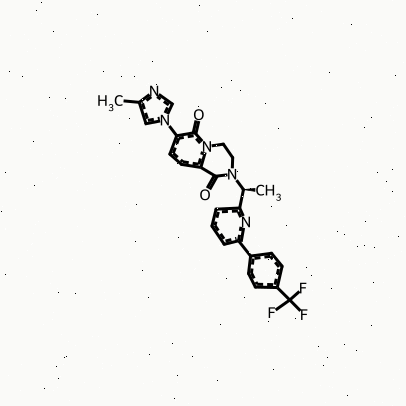 Cc1cn(-c2ccc3n(c2=O)CCN([C@@H](C)c2cccc(-c4ccc(C(F)(F)F)cc4)n2)C3=O)cn1